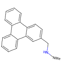 CNNCc1ccc2c3ccccc3c3ccccc3c2c1